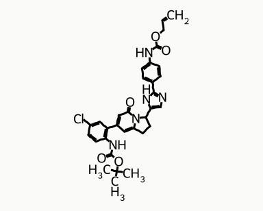 C=CCOC(=O)Nc1ccc(-c2ncc(C3CCc4cc(-c5cc(Cl)ccc5NC(=O)OC(C)(C)C)cc(=O)n43)[nH]2)cc1